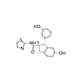 C[C@]1(C(=O)Nc2nccs2)Cc2ccc(O)cc2[C@H]1c1cccc(O)c1